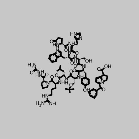 CC(C)C[C@H](NC(=O)[C@@H](COC(C)(C)C)NC(=O)[C@H](Cc1ccc(O)cc1)NC(=O)[C@H](CO)NC(=O)[C@H](Cc1c[nH]c2ccccc12)NC(=O)[C@H](Cc1c[nH]cn1)NC(=O)[C@@H]1CCC(=O)N1)C(=O)N[C@@H](CCCNC(=N)N)C(=O)N1CCC[C@H]1C(=O)NNC(N)=O.O=C(c1ccccc1)c1ccc2n1CCC2C(=O)O